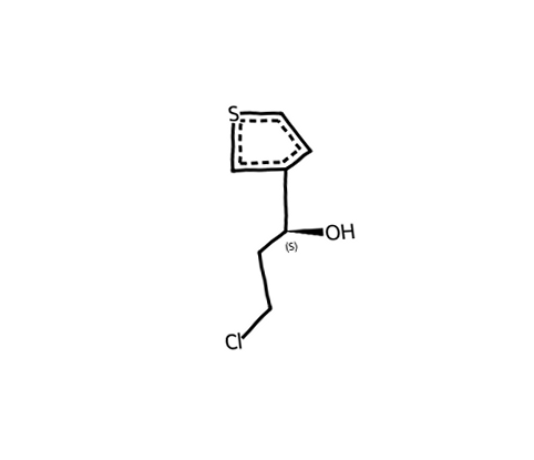 O[C@@H](CCCl)c1ccsc1